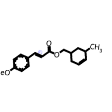 COc1ccc(/C=C/C(=O)OCC2CC=CC(C)C2)cc1